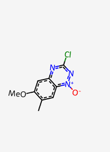 COc1cc2nc(Cl)n[n+]([O-])c2cc1C